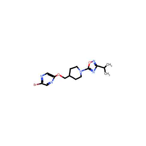 CC(C)c1noc(N2CCC(COc3cnc(Br)cn3)CC2)n1